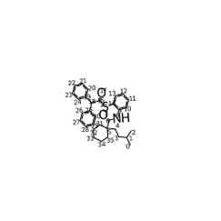 CC(C)CCC1(C(=O)Nc2ccccc2SC(=O)C(c2ccccc2)c2ccccc2)CCCCC1